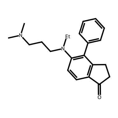 CCN(CCCN(C)C)c1ccc2c(c1-c1ccccc1)CCC2=O